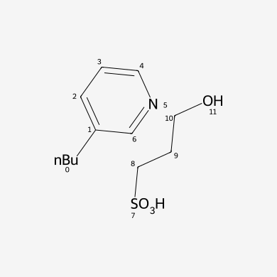 CCCCc1cccnc1.O=S(=O)(O)CCCO